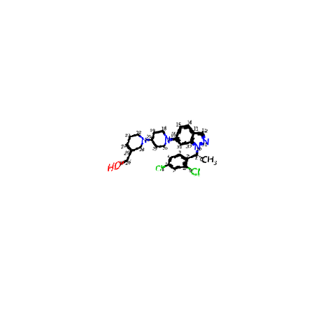 C[C@H](c1ccc(Cl)cc1Cl)n1ncc2ccc(N3CCC(N4CCCC(CO)C4)CC3)cc21